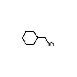 [CH2]CCC[C]1CCCCC1